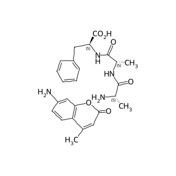 C[C@H](N)C(=O)N[C@@H](C)C(=O)N[C@@H](Cc1ccccc1)C(=O)O.Cc1cc(=O)oc2cc(N)ccc12